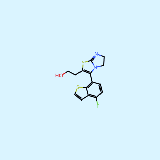 OCCC1=C(c2ccc(F)c3ccsc23)N2CCN=C2S1